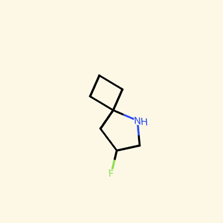 FC1CNC2(CCC2)C1